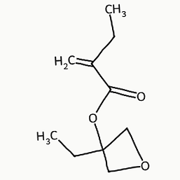 C=C(CC)C(=O)OC1(CC)COC1